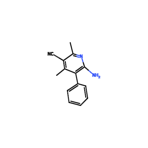 Cc1nc(N)c(-c2ccccc2)c(C)c1C#N